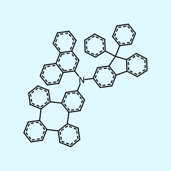 c1ccc(C2(c3ccccc3)c3ccccc3-c3ccc(N(c4ccc5c(c4)-c4ccccc4-c4ccccc4-c4ccccc4-5)c4cc5ccccc5c5ccccc45)cc32)cc1